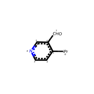 CC(C)c1ccncc1C=O